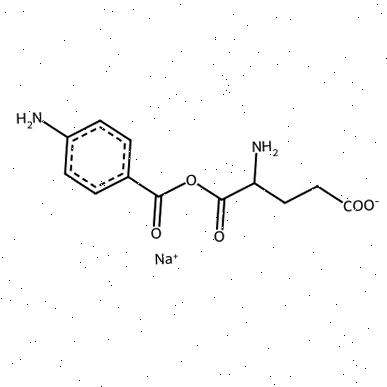 Nc1ccc(C(=O)OC(=O)C(N)CCC(=O)[O-])cc1.[Na+]